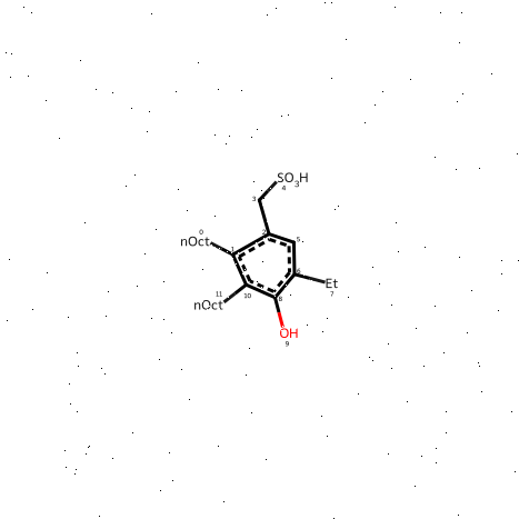 CCCCCCCCc1c(CS(=O)(=O)O)cc(CC)c(O)c1CCCCCCCC